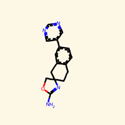 NC1=NC2(CCc3ccc(-c4cncnc4)cc3C2)CO1